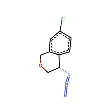 [N-]=[N+]=N[C@@H]1COCc2cc(Cl)ccc21